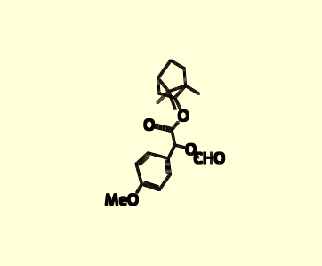 COc1ccc(C(O[C]=O)C(=O)OC2CC3CCC2(C)C3(C)C)cc1